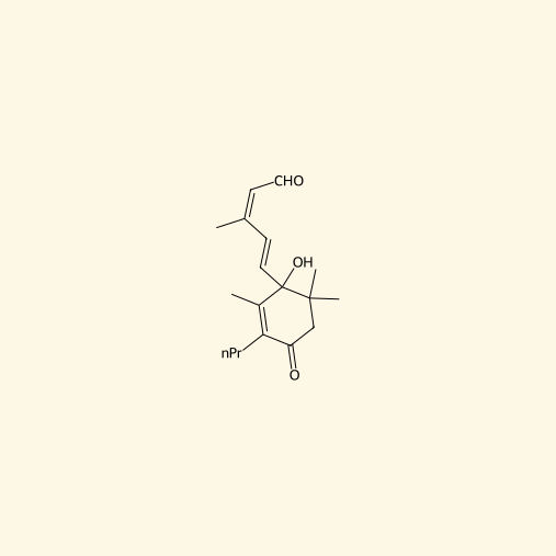 CCCC1=C(C)C(O)(/C=C/C(C)=C\C=O)C(C)(C)CC1=O